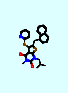 CC(C)Cn1c(=O)n(C)c(=O)c2c(Sc3ccccn3)c(Cc3cccc4ccccc34)sc21